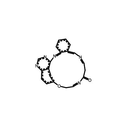 O=C1C\C=N/C=c2/cccc/c2=N/c2ncnc3ccc(cc23)OC/C=N\1